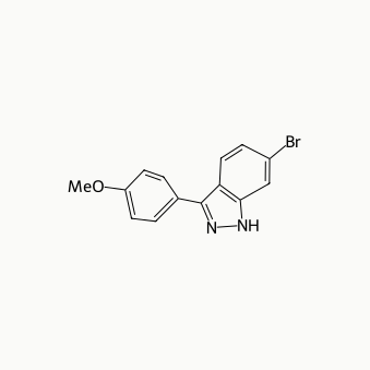 COc1ccc(-c2n[nH]c3cc(Br)ccc23)cc1